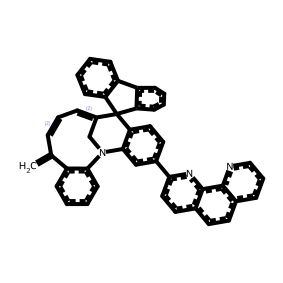 C=C1/C=C\C=C2/CN(c3ccccc31)c1cc(-c3ccc4ccc5cccnc5c4n3)ccc1C21c2ccccc2-c2ccccc21